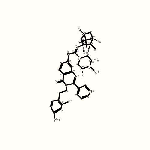 COc1ccc(CCn2c(-c3cccnc3)nc3cc(N/C(=N/[C@H]4C[C@@H]5C[C@H]([C@@H]4C)C5(C)C)N4C[C@@H](C)N(O)[C@@H](C)C4)ccc3c2=O)c(F)c1